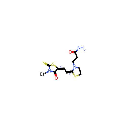 CCN1C(=O)/C(=C\C=C2\SCCN2CCC(N)=O)SC1=S